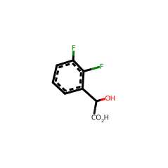 O=C(O)C(O)c1cccc(F)c1F